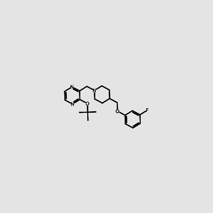 CC(C)(C)Oc1nccnc1CN1CCC(COc2cccc(F)c2)CC1